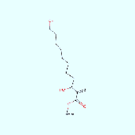 C=C(C(=O)OCCCCCC)C(O)CCCCCCCCO